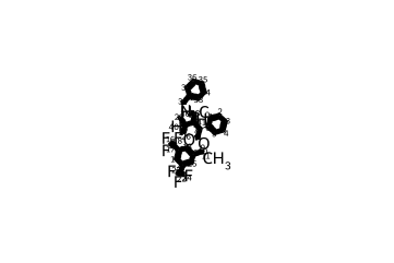 Cc1ccccc1[C@@H]1[C@@H](O[C@H](C)c2cc(C(F)(F)F)cc(C(F)(F)F)c2)OC[C@@H]2CN(Cc3ccccc3)C[C@H]21